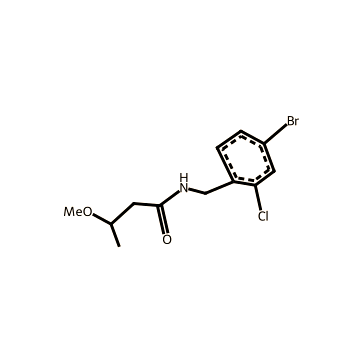 COC(C)CC(=O)NCc1ccc(Br)cc1Cl